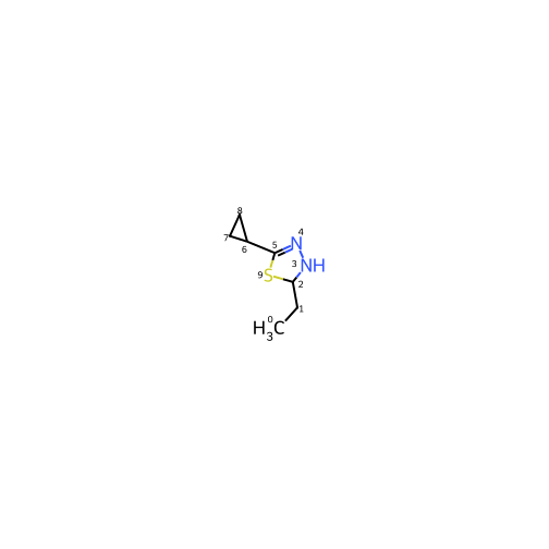 CCC1NN=C(C2CC2)S1